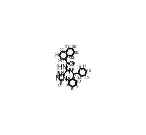 Cc1nnc2n1-c1ccccc1C(c1ccccc1)=NC2NC(=O)c1cccc2ccccc12